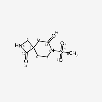 CS(=O)(=O)N1CCC2(CNC2=O)CC1=O